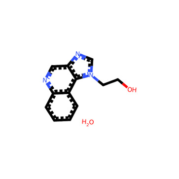 O.OCCn1cnc2cnc3ccccc3c21